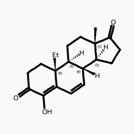 CC[C@]12CCC(=O)C(O)=C1C=C[C@@H]1[C@@H]2CC[C@]2(C)C(=O)CC[C@@H]12